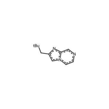 CC(C)(C)Cc1cn2ccncc2n1